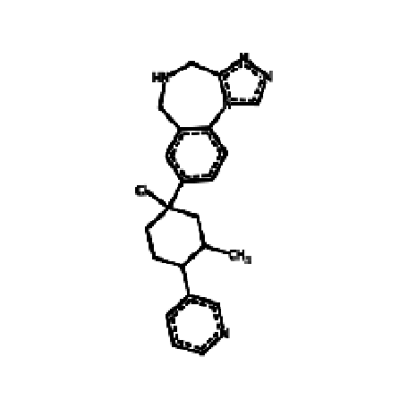 CC1CC(Cl)(c2ccc3c(c2)CNCc2nncn2-3)CCC1c1cccnc1